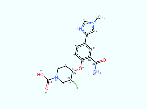 Cn1cnc(-c2ccc(O[C@H]3CCN(C(=O)O)C[C@@H]3F)c(C(N)=O)c2)c1